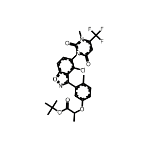 Cc1ccc(OC(C)C(=O)OC(C)(C)C)cc1-c1noc2ccc(-n3c(=O)cc(C(F)(F)F)n(C)c3=O)c(Cl)c12